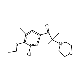 CCSc1c(C)cc(C(=O)C(C)(C)N2CCOCC2)cc1Cl